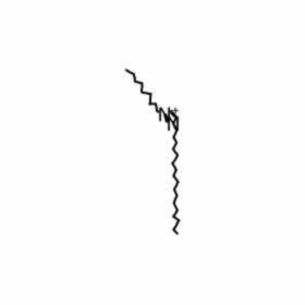 CCCCCCCCCCCCCCCCCn1cc[n+](CCCCCCCCC)c1